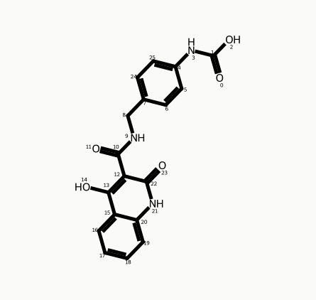 O=C(O)Nc1ccc(CNC(=O)c2c(O)c3ccccc3[nH]c2=O)cc1